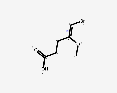 CO/C(=C\Br)CCC(=O)O